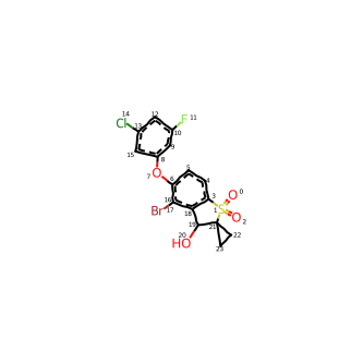 O=S1(=O)c2ccc(Oc3cc(F)cc(Cl)c3)c(Br)c2C(O)C12CC2